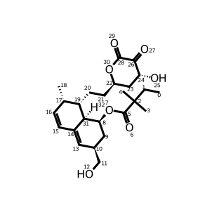 CCC(C)(C)C(=O)O[C@H]1C[C@@H](CO)C=C2C=C[C@H](C)[C@H](CC[C@@H]3C[C@@H](O)C(=O)C(=O)O3)[C@H]21